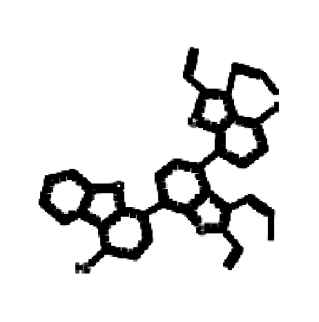 C=Cc1oc2c(-c3ccc(-c4ccc(S)c5c4oc4ccccc45)c4oc(C=C)c(/C=C\C)c34)ccc(I)c2c1/C=C\C